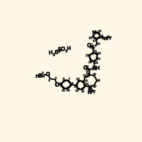 CCCCOCCOc1ccc(-c2ccc3c(c2)/C=C(/C(=O)Nc2ccc([S+]([O-])Cc4cncn4CCC)cc2)CCCN3CCC)cc1.CS(=O)(=O)O